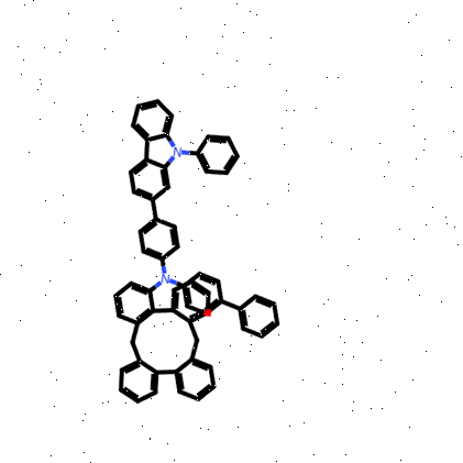 c1ccc(-c2ccc(N(c3ccc(-c4ccc5c6ccccc6n(-c6ccccc6)c5c4)cc3)c3cccc4c3-c3ccccc3Cc3ccccc3-c3ccccc3C4)cc2)cc1